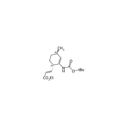 CCOC(=O)C=C[C@@H]1CC[C@@H](C)C=C1NC(=O)OC(C)(C)C